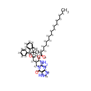 CCCCCCCCCCCCCCCCCC(=O)OCC(CCO[Si](c1ccccc1)(c1ccccc1)C(C)(C)C)Cn1c(N)nc2nc[nH]c2c1=O